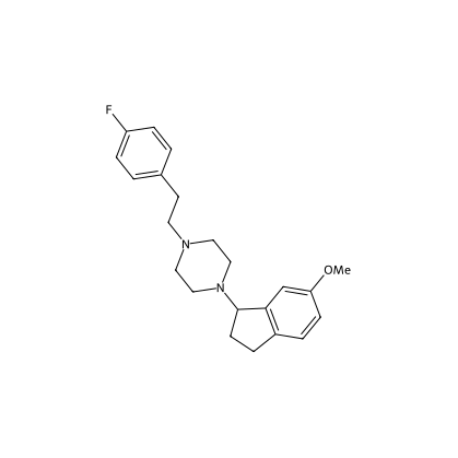 COc1ccc2c(c1)C(N1CCN(CCc3ccc(F)cc3)CC1)CC2